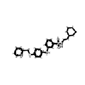 O=S(=O)(NCCC1CCCCC1)c1cccc(Nc2ccc(OCc3ccccn3)cc2)c1